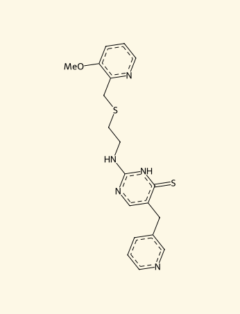 COc1cccnc1CSCCNc1ncc(Cc2cccnc2)c(=S)[nH]1